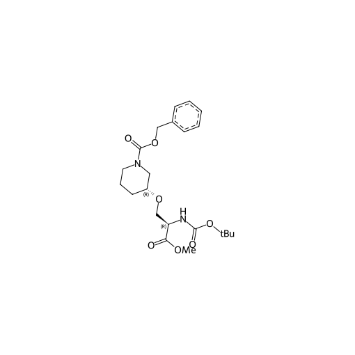 COC(=O)[C@@H](CO[C@@H]1CCCN(C(=O)OCc2ccccc2)C1)NC(=O)OC(C)(C)C